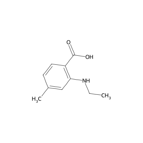 CCNc1cc(C)ccc1C(=O)O